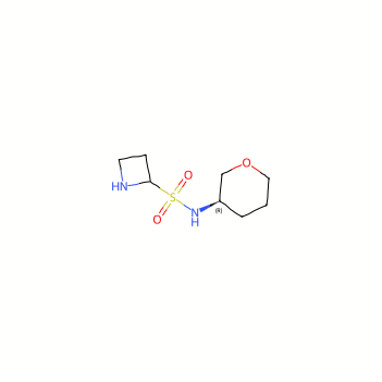 O=S(=O)(N[C@@H]1CCCOC1)C1CCN1